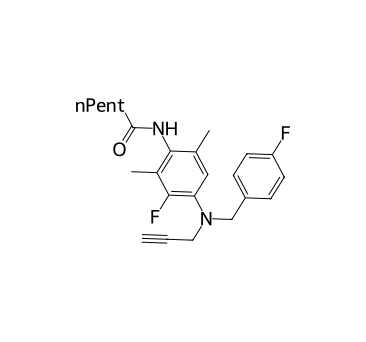 C#CCN(Cc1ccc(F)cc1)c1cc(C)c(NC(=O)CCCCC)c(C)c1F